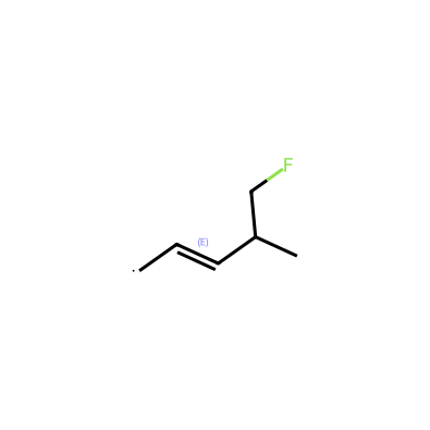 [CH2]/C=C/C(C)CF